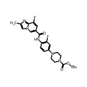 Cc1cn2cc(C(=O)Nc3ccc(N4CCN(C(=O)OC(C)(C)C)CC4)cc3F)cc(F)c2n1